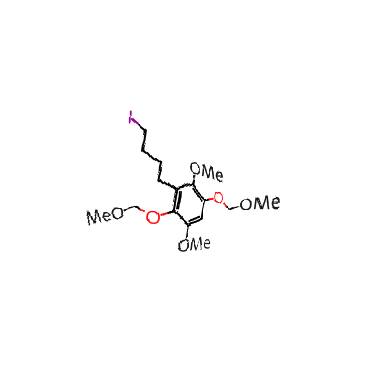 COCOc1cc(OC)c(OCOC)c(CCCCI)c1OC